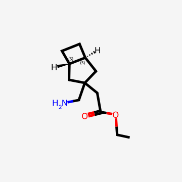 CCOC(=O)CC1(CN)C[C@@H]2CC[C@H]2C1